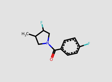 CC1CN(C(=O)c2ccc(F)cc2)CC1F